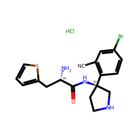 Cl.N#Cc1cc(Br)ccc1[C@@]1(NC(=O)[C@@H](N)Cc2cccs2)CCNC1